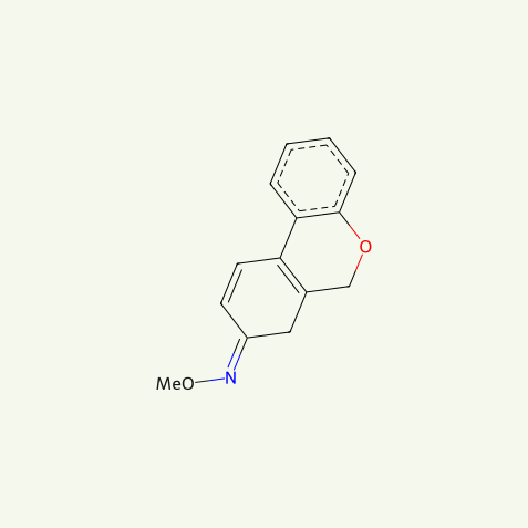 CON=C1C=CC2=C(COc3ccccc32)C1